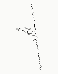 CCCCCCCCCCCCCCCC(=O)OC(CCCCCCCCCCCCCCC)CC(=O)N[C@H](CCCN)C(=O)O